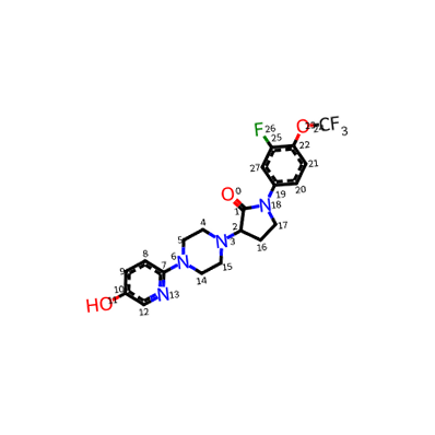 O=C1C(N2CCN(c3ccc(O)cn3)CC2)CCN1c1ccc(OC(F)(F)F)c(F)c1